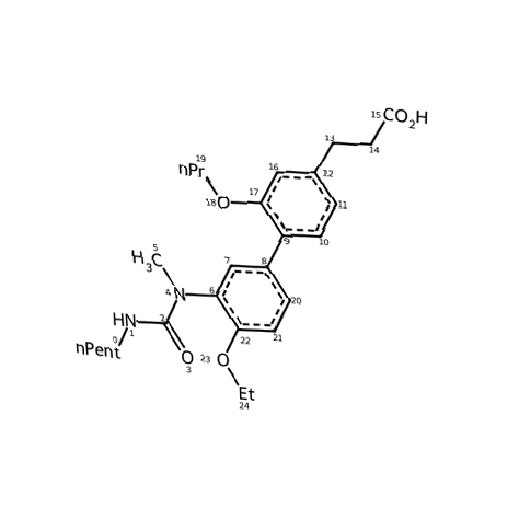 CCCCCNC(=O)N(C)c1cc(-c2ccc(CCC(=O)O)cc2OCCC)ccc1OCC